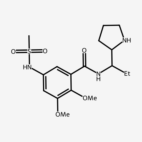 CCC(NC(=O)c1cc(NS(C)(=O)=O)cc(OC)c1OC)C1CCCN1